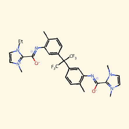 CCn1cc[n+](C)c1/C([O-])=N/c1cc(C(c2ccc(C)c(/N=C(\[O-])c3n(C)cc[n+]3C)c2)(C(F)(F)F)C(F)(F)F)ccc1C